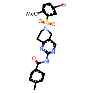 COc1ccc(Br)cc1S(=O)(=O)N1CCc2nc(NC(=O)c3ccc(C)cc3)ncc2C1